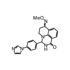 CON=C1CCN2c3c(cccc31)C(=O)NC2c1ccc(-n2ccnc2)cc1